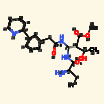 CC(C)C[C@@H](N)C(=O)NC(NC(=O)Cc1cccc(-c2ccccn2)c1)[C@H](C(=O)OC(C)(C)C)C(C)O